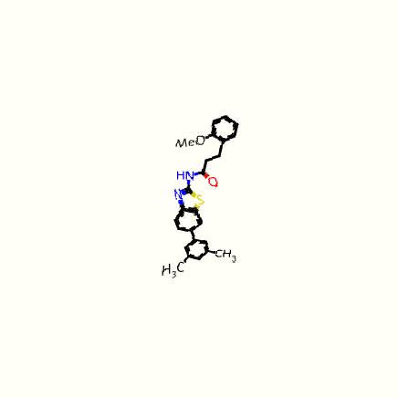 COc1ccccc1CCC(=O)Nc1nc2ccc(-c3cc(C)cc(C)c3)cc2s1